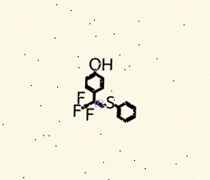 Oc1ccc(/C(=C\Sc2ccccc2)C(F)(F)F)cc1